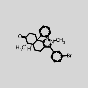 C[C@@H]1C(=O)CC[C@]2(c3ccccc3)c3nn(C)c(-c4cccc(Br)c4)c3CC[C@@H]12